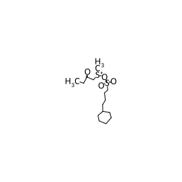 CCC(=O)C[S+](C)OS(=O)(=O)CCCCC1CCCCC1